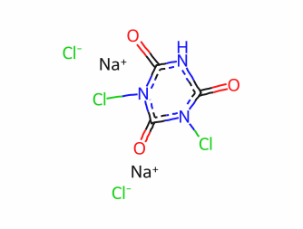 O=c1[nH]c(=O)n(Cl)c(=O)n1Cl.[Cl-].[Cl-].[Na+].[Na+]